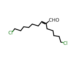 O=C/C(=C/CCCCCCCl)CCCCCCl